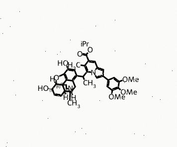 COc1cc(-c2cc3cc(C(=O)OC(C)C)c(C)c(C(C)c4cc(O)c5c6c4C[C@@H]4[C@@H]7C=C[C@H](O)[C@H](O5)[C@]67CCN4C)n3c2)cc(OC)c1OC